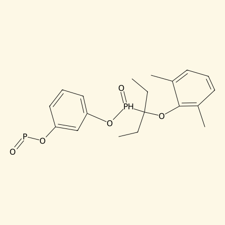 CCC(CC)(Oc1c(C)cccc1C)[PH](=O)Oc1cccc(OP=O)c1